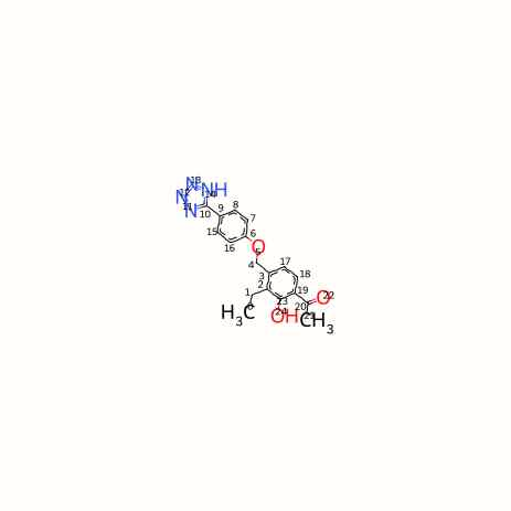 CCc1c(COc2ccc(-c3nnn[nH]3)cc2)ccc(C(C)=O)c1O